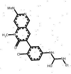 CCNC(O)Nc1ccc(Cl)c(-c2cc3cnc(NC)cc3n(C)c2=O)c1